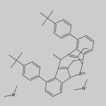 CCC1=C2c3c(-c4ccc(C(C)(C)C)cc4)cccc3[CH]1[Zr+2][CH]1C(CC)=C(c3c(-c4ccc(C(C)(C)C)cc4)cccc31)C2C.C[N-]C.C[N-]C